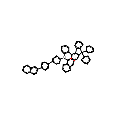 c1ccc(C2(c3ccccc3)c3ccccc3-c3c(-c4ccccc4N(c4ccc(-c5ccc(-c6ccc7ccccc7c6)cc5)cc4)c4cccc5ccccc45)cccc32)cc1